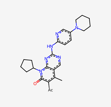 CC(=O)c1c(C)c2cnc(Nc3ccc(N4CCCCC4)cn3)nc2n(C2CCCC2)c1=O